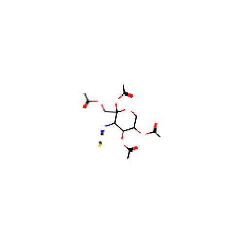 CC(=O)OCC1(OC(C)=O)OCC(OC(C)=O)C(OC(C)=O)C1N=C=S